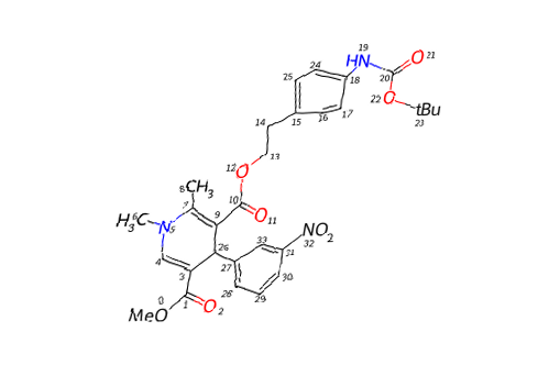 COC(=O)C1=CN(C)C(C)=C(C(=O)OCCc2ccc(NC(=O)OC(C)(C)C)cc2)C1c1cccc([N+](=O)[O-])c1